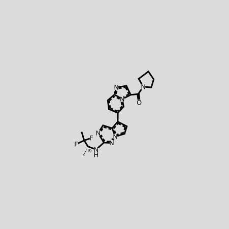 C[C@@H](Nc1ncc2c(-c3ccc4ncc(C(=O)N5CCCC5)n4c3)ccn2n1)C(C)(F)F